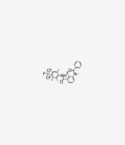 Cc1cc(C(F)(C(F)(F)F)C(F)(F)F)cc(C)c1NC(=O)c1cccc(N(C)C(=O)c2ccccc2)c1F